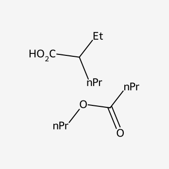 CCCC(CC)C(=O)O.CCCOC(=O)CCC